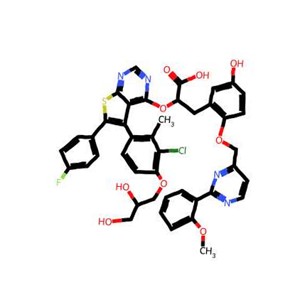 COc1ccccc1-c1nccc(COc2ccc(O)cc2CC(Oc2ncnc3sc(-c4ccc(F)cc4)c(-c4ccc(OCC(O)CO)c(Cl)c4C)c23)C(=O)O)n1